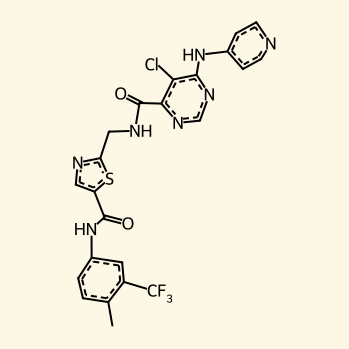 Cc1ccc(NC(=O)c2cnc(CNC(=O)c3ncnc(Nc4ccncc4)c3Cl)s2)cc1C(F)(F)F